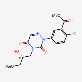 COC[C@H](O)Cn1c(=O)cnn(-c2ccc(Cl)c(C(=O)OC)c2)c1=O